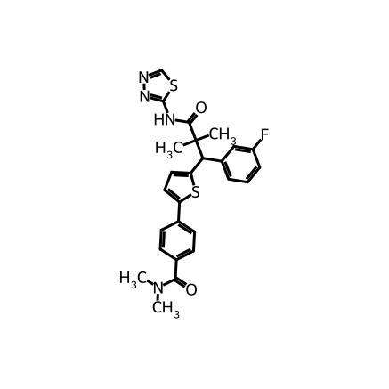 CN(C)C(=O)c1ccc(-c2ccc(C(c3cccc(F)c3)C(C)(C)C(=O)Nc3nncs3)s2)cc1